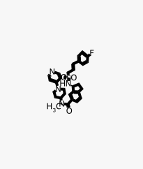 CN(C(=O)c1ccc2c(c1)[C@H](NS(=O)(=O)CC=Cc1ccc(F)cc1)CC2)C1CCN(c2ccncc2)CC1